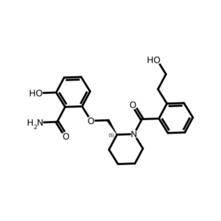 NC(=O)c1c(O)cccc1OC[C@@H]1CCCCN1C(=O)c1ccccc1CCO